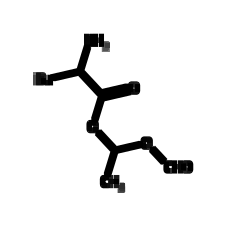 CCC(C)C(N)C(=O)OC(C)OC=O